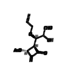 C=CCO[C@@H](C(O)C=O)[C@H]1C(=O)N[C@@H]1OC(C)=O